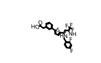 N=C(/C=C(\NCc1ccc(F)cc1F)c1ccc(-c2cccc(CC(=O)O)c2)s1)C(F)(F)F